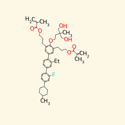 C=C(C)C(=O)OCCCc1cc(-c2ccc(-c3ccc(C4CCC(C)CC4)cc3F)cc2CC)cc(CCCOC(=O)C(=C)C)c1OCCC(C)(CO)CO